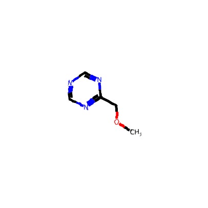 COCc1ncncn1